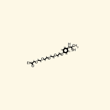 CCC(=O)COCCOCCOCCOCCOc1ccc(NC(C)S)cc1